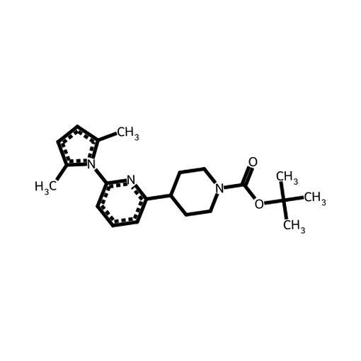 Cc1ccc(C)n1-c1cccc(C2CCN(C(=O)OC(C)(C)C)CC2)n1